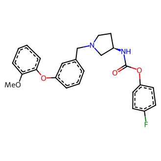 COc1ccccc1Oc1cccc(CN2CC[C@@H](NC(=O)Oc3ccc(F)cc3)C2)c1